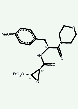 CCOC(=O)[C@H]1O[C@@H]1C(=O)N[C@@H](Cc1ccc(OC)cc1)C(=O)N1CCOCC1